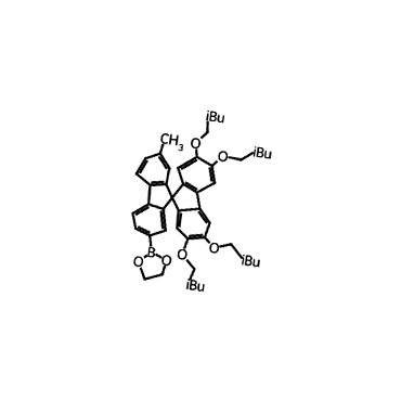 CCC(C)COc1cc2c(cc1OCC(C)CC)C1(c3cc(C)ccc3-c3ccc(B4OCCO4)cc31)c1cc(OCC(C)CC)c(OCC(C)CC)cc1-2